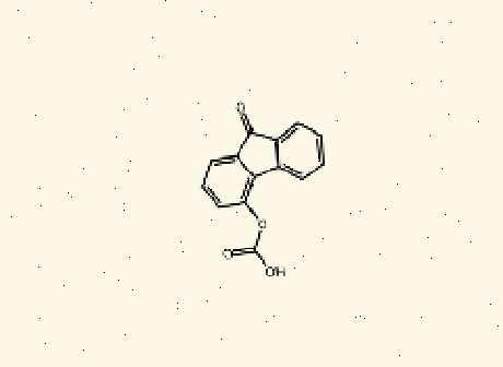 O=C(O)Oc1cccc2c1-c1ccccc1C2=O